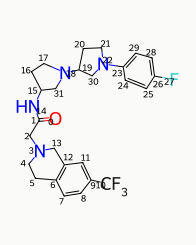 O=C(CN1CCc2ccc(C(F)(F)F)cc2C1)NC1CCN(C2CCN(c3ccc(F)cc3)C2)C1